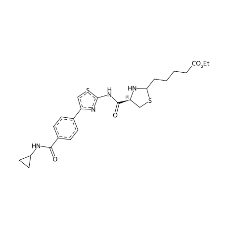 CCOC(=O)CCCCC1N[C@H](C(=O)Nc2nc(-c3ccc(C(=O)NC4CC4)cc3)cs2)CS1